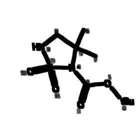 CC(C)(C)OC(=O)N1C(C)(C)CNS1(=O)=O